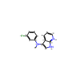 CN(c1cccc(F)c1)c1c[nH]c2ncccc12